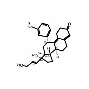 COc1cccc([C@H]2C[C@@]3(C)[C@@H](CC[C@@]3(O)/C=C/CO)[C@@H]3CCC4=CC(=O)CCC4=C32)c1